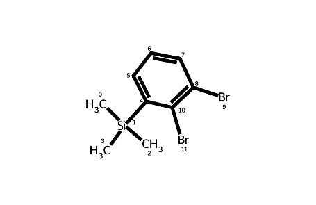 C[Si](C)(C)c1cccc(Br)c1Br